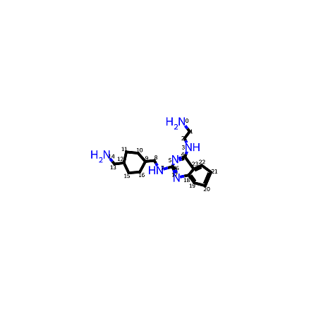 NCCNc1nc(NCC2CCC(CN)CC2)nc2ccccc12